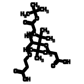 CC(C)(C)OC(=O)CNC(COCCC(=O)O)C(OCCC(=O)O)(C(C)(C)C)C(C)(C)C